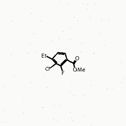 CCc1ccc(C(=O)OC)c(F)c1Cl